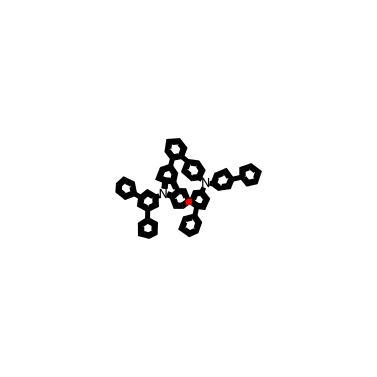 c1ccc(-c2ccc(N(c3ccc(-c4ccccc4)cc3)c3ccc(-c4ccccc4-c4ccc5c(c4)c4ccccc4n5-c4cc(-c5ccccc5)cc(-c5ccccc5)c4)cc3)cc2)cc1